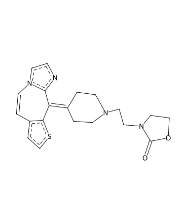 O=C1OCCN1CCN1CCC(=C2c3sccc3C=Cn3ccnc32)CC1